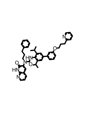 CC(C)c1cc(-c2cccc(OCCCc3ccccn3)c2)cc(C(C)C)c1NC(=O)N(CCCc1ccccc1)c1cc2cccnc2[nH]c1=O